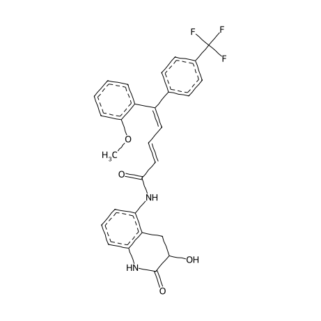 COc1ccccc1/C(=C\C=C\C(=O)Nc1cccc2c1CC(O)C(=O)N2)c1ccc(C(F)(F)F)cc1